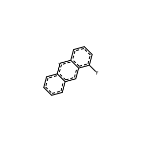 Fc1cccc2[c]c3ccccc3cc12